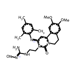 COc1cc2c(cc1OC)-c1c/c(=N\c3c(C)cc(C)cc3C)n(CCN/C(N)=N/N=O)c(=O)n1CC2